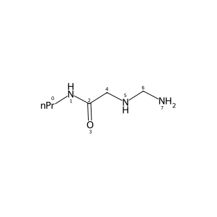 CCCNC(=O)CNCN